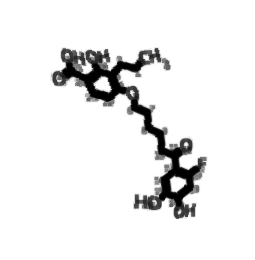 CCCc1c(OCCCCCC(=O)c2cc(O)c(O)cc2F)ccc(C(=O)O)c1O